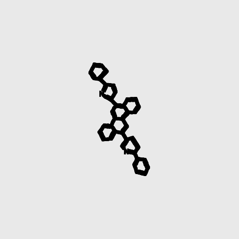 c1ccc(-c2ccc(-c3cc4c5ccccc5c(-c5ccc(-c6ccccc6)nc5)cc4c4ccccc34)cn2)cc1